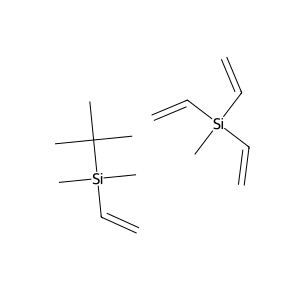 C=C[Si](C)(C)C(C)(C)C.C=C[Si](C)(C=C)C=C